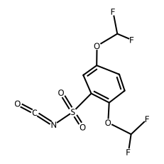 O=C=NS(=O)(=O)c1cc(OC(F)F)ccc1OC(F)F